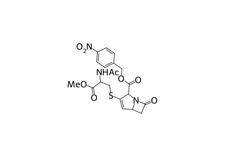 COC(=O)C(CSC1=CC2CC(=O)N2C1C(=O)OCc1ccc([N+](=O)[O-])cc1)NC(C)=O